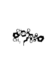 Cc1ccc(C)c(N2CCN(C(=O)C3CN(S(=O)(=O)c4ccccc4)C(=O)N3CCCI)CC2)c1